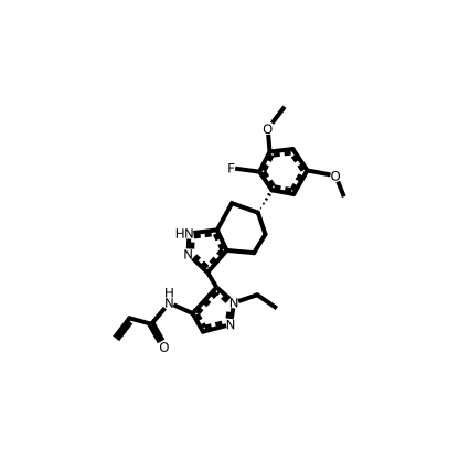 C=CC(=O)Nc1cnn(CC)c1-c1n[nH]c2c1CC[C@@H](c1cc(OC)cc(OC)c1F)C2